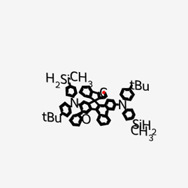 C[SiH2]c1ccc(N(c2ccc(C(C)(C)C)cc2)c2ccc3c4c(c5ccccc5c3c2)-c2c(cc(N(c3ccc([SiH2]C)cc3)c3ccc(C(C)(C)C)cc3)c3c2oc2ccccc23)C42c3ccccc3-c3ccccc32)cc1